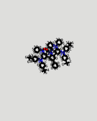 CC(C)(C)c1ccc(N(c2ccc(C(C)(C)C)cc2)c2cc3c4c(c2)N(c2ccccc2)c2ccccc2B4N2B4c5ccccc5N(c5ccccc5)c5cc(N(c6ccc(C(C)(C)C)cc6)c6ccc(C(C)(C)C)cc6)cc(c54)-c4cc(-c5ccccc5)cc-3c42)cc1